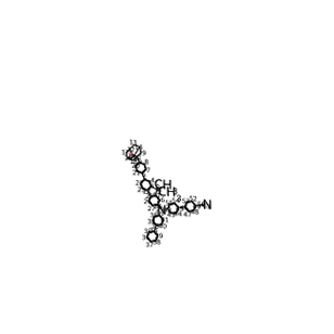 CC1(C)c2cc(-c3ccc(C45CC6CC(CC(C6)C4)C5)cc3)ccc2-c2ccc(N(c3ccc(-c4ccccc4)cc3)c3ccc(-c4ccc(C#N)cc4)cc3)cc21